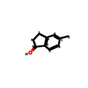 Cc1c[c]c2c(c1)CCC2=O